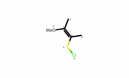 CO/C(C)=C(/C)SCl